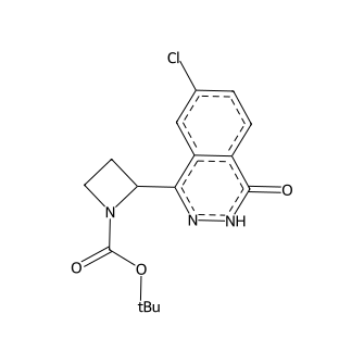 CC(C)(C)OC(=O)N1CCC1c1n[nH]c(=O)c2ccc(Cl)cc12